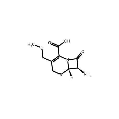 COCC1=C(C(=O)O)N2C(=O)[C@@H](N)[C@@H]2SC1